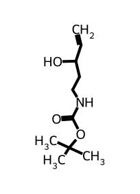 C=CC(O)CCNC(=O)OC(C)(C)C